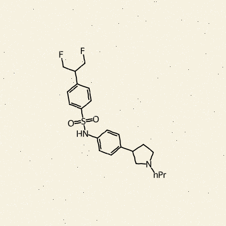 CCCN1CCC(c2ccc(NS(=O)(=O)c3ccc(C(CF)CF)cc3)cc2)C1